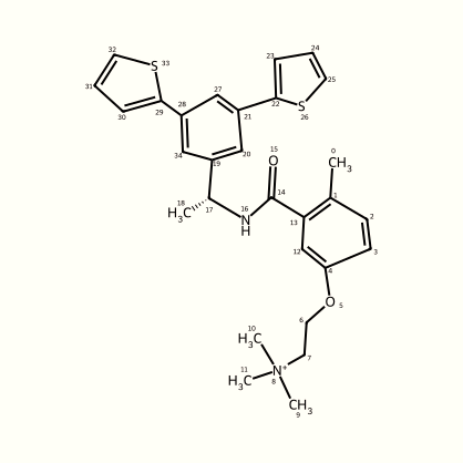 Cc1ccc(OCC[N+](C)(C)C)cc1C(=O)N[C@H](C)c1cc(-c2cccs2)cc(-c2cccs2)c1